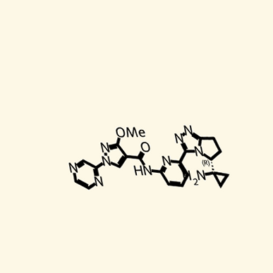 COc1nn(-c2cnccn2)cc1C(=O)Nc1cccc(-c2nnc3n2[C@@H](C2(N)CC2)CC3)n1